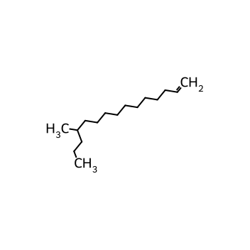 C=CCCCCCCCCCC(C)CCC